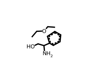 CCOCC.NC(CO)c1ccccc1